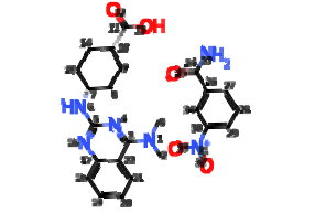 CN(C)c1nc(N[C@H]2CC[C@@H](C(=O)O)CC2)nc2ccccc12.NC(=O)c1cccc([N+](=O)[O-])c1